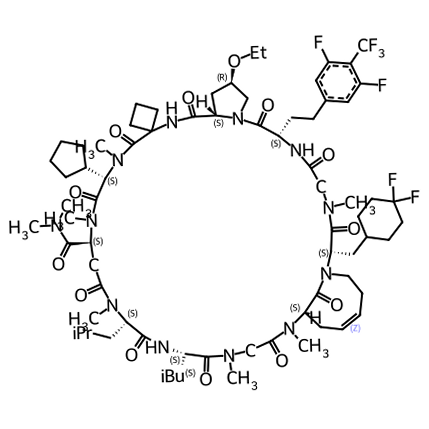 CCO[C@@H]1C[C@H]2C(=O)NC3(CCC3)C(=O)N(C)[C@@H](C3CCCC3)C(=O)N(C)[C@H](C(=O)N(C)C)CC(=O)N(C)[C@@H](CC(C)C)C(=O)N[C@@H]([C@@H](C)CC)C(=O)N(C)CC(=O)N(C)[C@H]3C/C=C\CCN(C3=O)[C@@H](CC3CCC(F)(F)CC3)C(=O)N(C)CC(=O)N[C@@H](CCc3cc(F)c(C(F)(F)F)c(F)c3)C(=O)N2C1